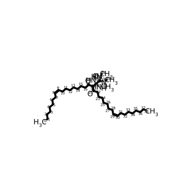 CCCCCCCC/C=C\CCCCCCCC(=O)C(C(=O)CCCCCCC/C=C\CCCCCCCC)C(NC)(NC)[C](NC)NC